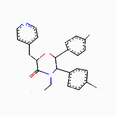 CCC[C@H](C(=O)OCC)N1C(=O)C([C@H](O)c2ccncc2)OC(c2ccc(Cl)cc2)C1c1ccc(Cl)cc1